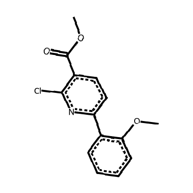 COC(=O)c1ccc(-c2ccccc2OC)nc1Cl